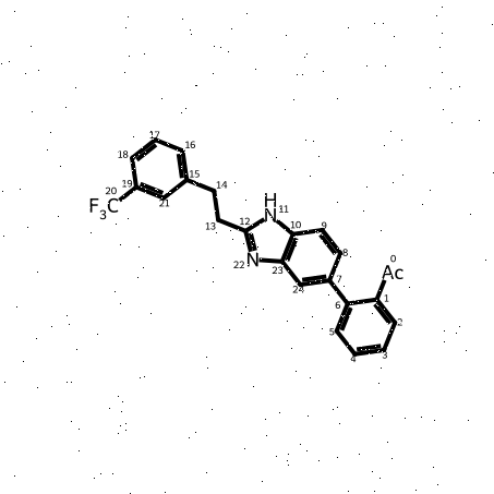 CC(=O)c1ccccc1-c1ccc2[nH]c(CCc3cccc(C(F)(F)F)c3)nc2c1